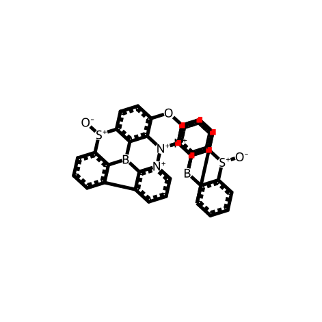 [O-][S+]1c2cccc3c2B2c4c1ccc1c4[N+]4(c5c(ccc6c5B5c7c(cccc7[S+]6[O-])-c6ccc[n+]4c65)O1)[n+]1cccc-3c12